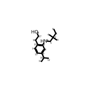 CCC(C)(C)CNc1cc(C(C)C)ccc1CCO